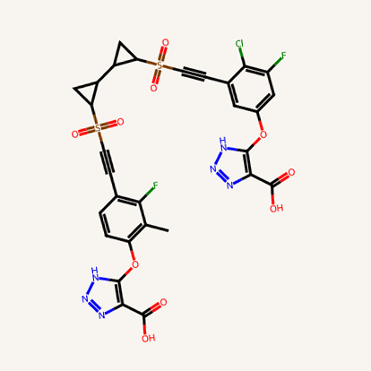 Cc1c(Oc2[nH]nnc2C(=O)O)ccc(C#CS(=O)(=O)C2CC2C2CC2S(=O)(=O)C#Cc2cc(Oc3[nH]nnc3C(=O)O)cc(F)c2Cl)c1F